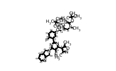 Cc1noc(C)c1-c1nc(-c2cc(OC[C@@H](CN(C)C(=O)OC(C)(C)C)O[Si](C)(C)C(C)(C)C)ccc2F)nc(N2Cc3cccnc3C2)c1C